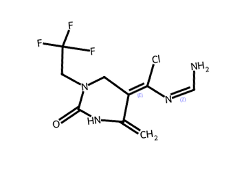 C=C1NC(=O)N(CC(F)(F)F)C/C1=C(Cl)/N=C\N